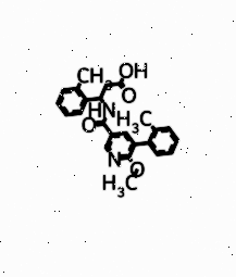 COc1ncc(C(=O)NC(CC(=O)O)c2ccccc2C)cc1-c1ccccc1C